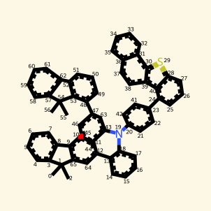 CC1(C)c2ccccc2-c2ccc(-c3ccccc3N(c3ccc(-c4cccc5sc6c7ccccc7ccc6c45)cc3)c3cccc(-c4cccc5c4C(C)(C)c4ccccc4-5)c3)cc21